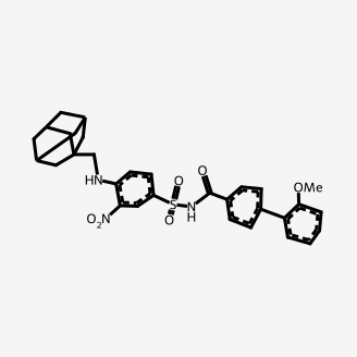 COc1ccccc1-c1ccc(C(=O)NS(=O)(=O)c2ccc(NCC34CC5CC(CC(C5)C3)C4)c([N+](=O)[O-])c2)cc1